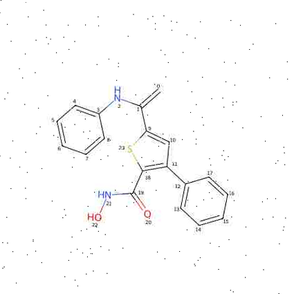 C=C(Nc1ccccc1)c1cc(-c2ccccc2)c(C(=O)NO)s1